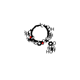 [2H]C([2H])([2H])O[C@H]1C[C@@H]2CC([2H])([2H])[C@@H](C)[C@@](O)(O2)C(=O)C(=O)N2CCCC[C@H]2C(=O)O[C@H]([C@H](C)C[C@@H]2CC[C@@H](OC([2H])([2H])C([2H])([2H])O)[C@H](OC)C2)CC(=O)[C@H](C([2H])([2H])[2H])/C=C(\C)[C@@H](O)[C@@H](OC)C(=C)[C@H](C)C[C@H](C)/C=C/C=C/C=C/1C